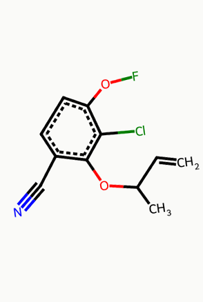 C=CC(C)Oc1c(C#N)ccc(OF)c1Cl